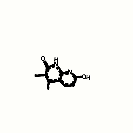 Cc1c(C)c2ccc(O)nc2[nH]c1=O